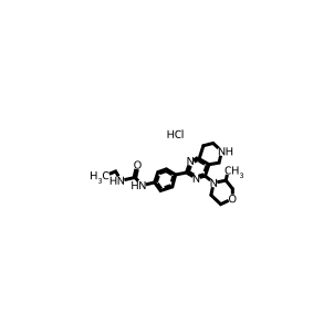 CCNC(=O)Nc1ccc(-c2nc3c(c(N4CCOCC4C)n2)CNCC3)cc1.Cl